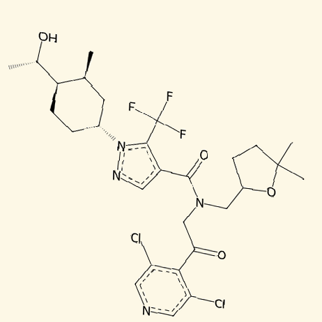 C[C@H](O)[C@@H]1CC[C@@H](n2ncc(C(=O)N(CC(=O)c3c(Cl)cncc3Cl)CC3CCC(C)(C)O3)c2C(F)(F)F)C[C@@H]1C